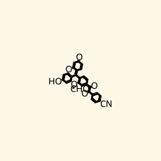 N#Cc1ccc(C(=O)C(=O)c2ccc(-c3c4ccc(=O)cc-4oc4cc(O)ccc34)c(OC=O)c2)cc1